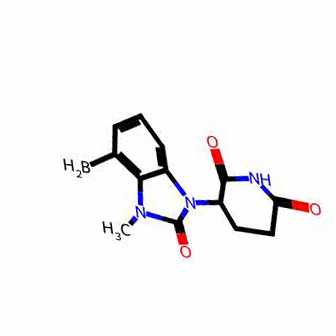 Bc1cccc2c1n(C)c(=O)n2C1CCC(=O)NC1=O